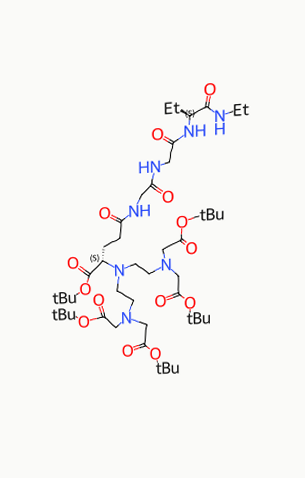 CCNC(=O)[C@H](CC)NC(=O)CNC(=O)CNC(=O)CC[C@@H](C(=O)OC(C)(C)C)N(CCN(CC(=O)OC(C)(C)C)CC(=O)OC(C)(C)C)CCN(CC(=O)OC(C)(C)C)CC(=O)OC(C)(C)C